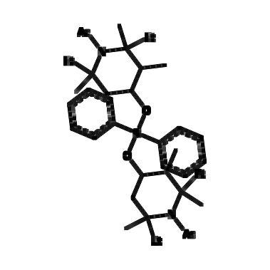 CCC1(C)CC(O[Si](OC2CC(C)(CC)N(C(C)=O)C(C)(CC)C2C)(c2ccccc2)c2ccccc2)C(C)C(C)(CC)N1C(C)=O